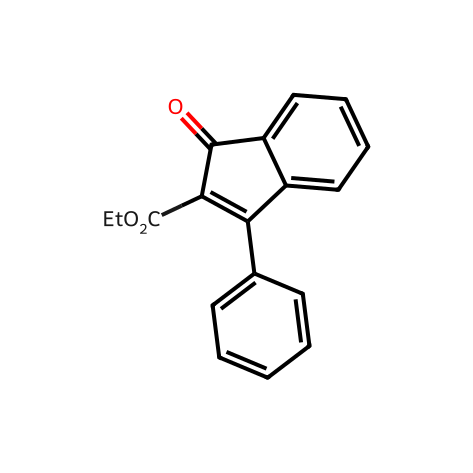 CCOC(=O)C1=C(c2ccccc2)c2ccccc2C1=O